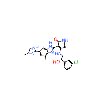 Cc1cc(C2=N[C@@H](C)CN2)cc2[nH]c(-c3c(NC[C@@H](O)c4cccc(Cl)c4)cc[nH]c3=O)nc12